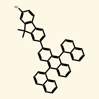 CC1(C)c2cc(C#N)ccc2-c2ccc(-c3ccc4c(-c5cccc6ccccc56)c5ccccc5c(-c5cccc6ccccc56)c4c3)cc21